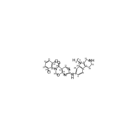 Cn1c2c(c3ccc(Nc4ncc5c(n4)OCN(c4c(Cl)cccc4Cl)C5=O)cc31)CCNC2